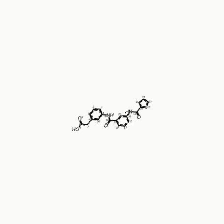 O=C(O)Cc1cccc(NC(=O)c2cccc(NC(=O)c3cccs3)c2)c1